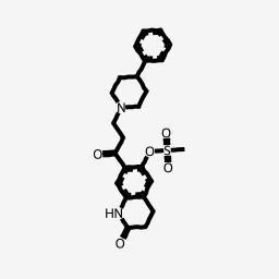 CS(=O)(=O)Oc1cc2c(cc1C(=O)CCN1CCC(c3ccccc3)CC1)NC(=O)CC2